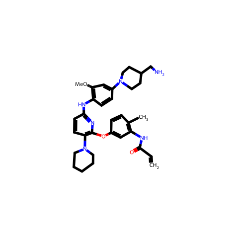 C=CC(=O)Nc1cc(Oc2nc(Nc3ccc(N4CCC(CN)CC4)cc3OC)ccc2N2CCCCC2)ccc1C